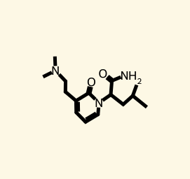 CC(C)CC(C(N)=O)n1cccc(CCN(C)C)c1=O